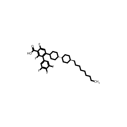 CCCCCCCCC[C@H]1CC[C@H](C2CCC(c3cc(F)c(C(=O)O)c(F)c3-c3cc(F)c(F)c(F)c3)CC2)CC1